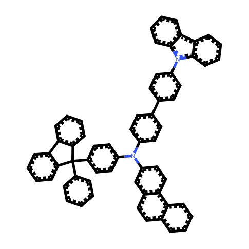 c1ccc(C2(c3ccc(N(c4ccc(-c5ccc(-n6c7ccccc7c7ccccc76)cc5)cc4)c4ccc5c(ccc6ccccc65)c4)cc3)c3ccccc3-c3ccccc32)cc1